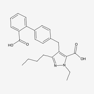 CCCCc1nn(CC)c(C(=O)O)c1Cc1ccc(-c2ccccc2C(=O)O)cc1